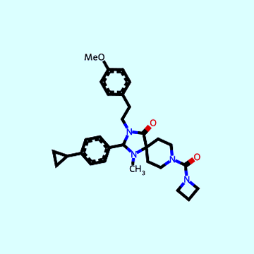 COc1ccc(CCN2C(=O)C3(CCN(C(=O)N4CCC4)CC3)N(C)C2c2ccc(C3CC3)cc2)cc1